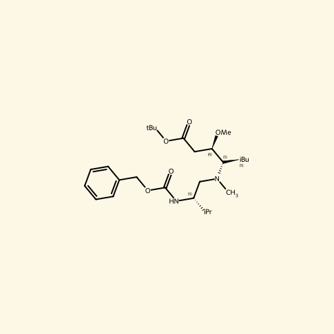 CC[C@H](C)[C@@H]([C@@H](CC(=O)OC(C)(C)C)OC)N(C)C[C@@H](NC(=O)OCc1ccccc1)C(C)C